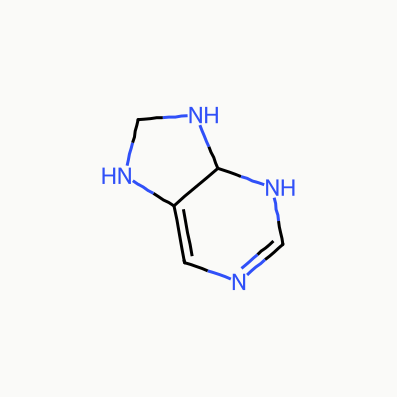 C1=NC=C2NCNC2N1